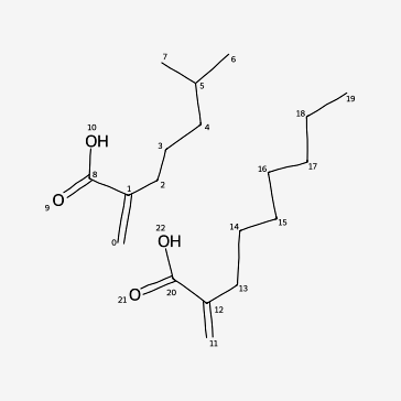 C=C(CCCC(C)C)C(=O)O.C=C(CCCCCCC)C(=O)O